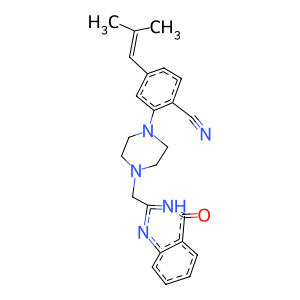 CC(C)=Cc1ccc(C#N)c(N2CCN(Cc3nc4ccccc4c(=O)[nH]3)CC2)c1